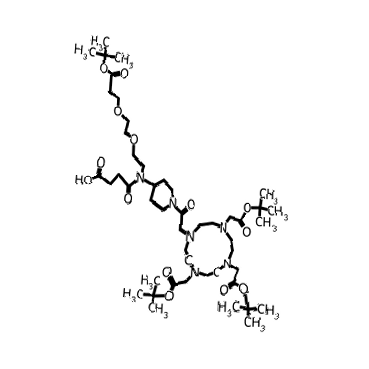 CC(C)(C)OC(=O)CCOCCOCCN(C(=O)CCC(=O)O)C1CCN(C(=O)CN2CCN(CC(=O)OC(C)(C)C)CCN(CC(=O)OC(C)(C)C)CCN(CC(=O)OC(C)(C)C)CC2)CC1